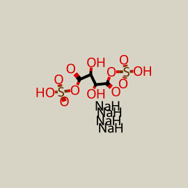 O=C(OS(=O)(=O)O)C(O)C(O)C(=O)OS(=O)(=O)O.[NaH].[NaH].[NaH].[NaH]